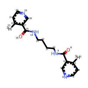 [3H]c1ccncc1C(=O)NCCCCNC(=O)c1cnccc1[3H]